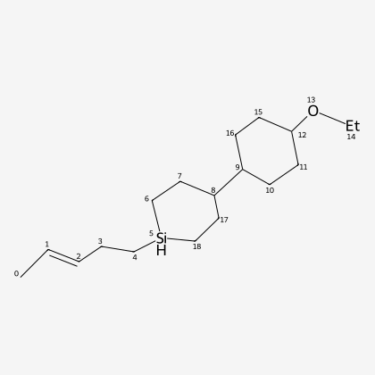 C/C=C/CC[SiH]1CCC(C2CCC(OCC)CC2)CC1